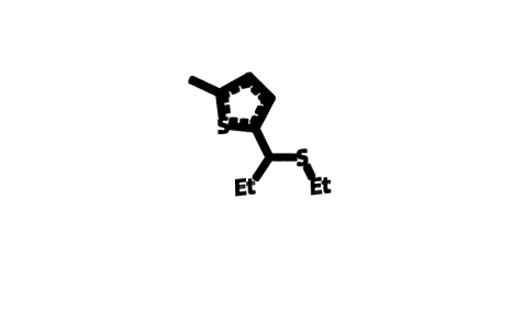 CCSC(CC)c1ccc(C)s1